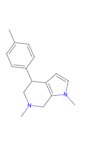 Cc1ccc(C2CN(C)Cc3c2ccn3C)cc1